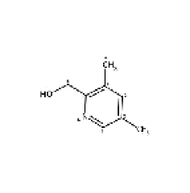 Cc1cc(C(F)(F)F)cnc1CO